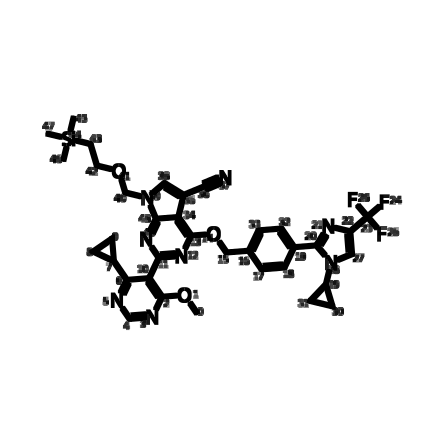 COc1ncnc(C2CC2)c1-c1nc(OCc2ccc(-c3nc(C(F)(F)F)cn3C3CC3)cc2)c2c(C#N)cn(COCC[Si](C)(C)C)c2n1